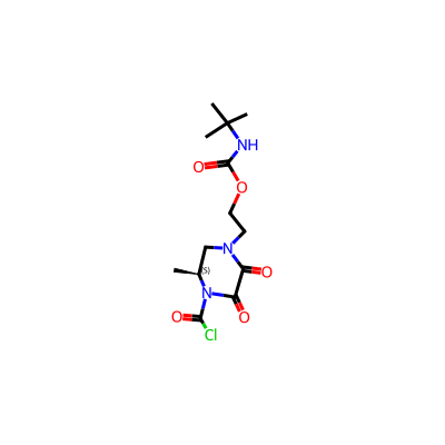 C[C@H]1CN(CCOC(=O)NC(C)(C)C)C(=O)C(=O)N1C(=O)Cl